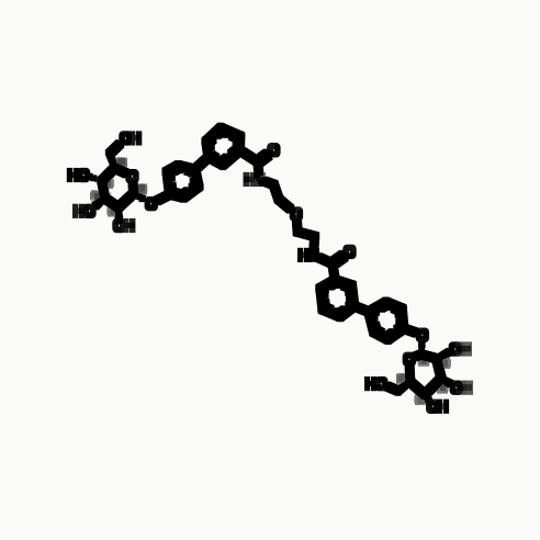 O=C(NCCOCCNC(=O)c1cccc(-c2ccc(O[C@H]3O[C@H](CO)[C@@H](O)[C@H](O)[C@@H]3O)cc2)c1)c1cccc(-c2ccc(O[C@H]3O[C@H](CO)[C@@H](O)[C@H](O)[C@@H]3O)cc2)c1